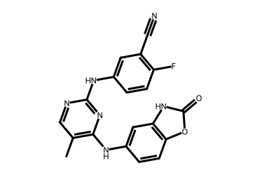 Cc1cnc(Nc2ccc(F)c(C#N)c2)nc1Nc1ccc2oc(=O)[nH]c2c1